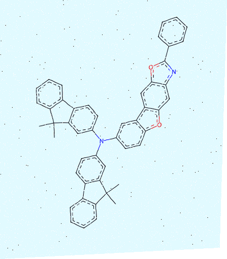 CC1(C)c2ccccc2-c2ccc(N(c3ccc4c(c3)C(C)(C)c3ccccc3-4)c3ccc4oc5cc6nc(-c7ccccc7)oc6cc5c4c3)cc21